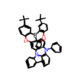 CC(C)(C)c1ccc2c(c1)B1c3cc(C(C)(C)C)ccc3Oc3cc(-n4c5ccccc5c5cccc(N(c6ccccc6)c6ccccc6)c54)cc(c31)O2